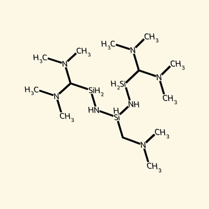 CN(C)C[SiH](N[SiH2]C(N(C)C)N(C)C)N[SiH2]C(N(C)C)N(C)C